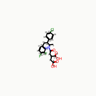 CC(NC(=O)CC(CC(=O)O)C(=O)O)C(Cc1ccc(F)c(F)c1)c1ccc(Cl)cc1